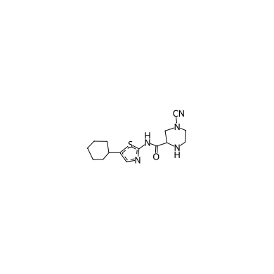 N#CN1CCNC(C(=O)Nc2ncc(C3CCCCC3)s2)C1